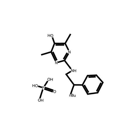 CCCCC(CNc1nc(C)c(O)c(C)n1)c1ccccc1.O=P(O)(O)O